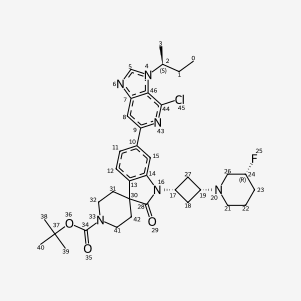 CC[C@H](C)n1cnc2cc(-c3ccc4c(c3)N([C@H]3C[C@@H](N5CCC[C@@H](F)C5)C3)C(=O)C43CCN(C(=O)OC(C)(C)C)CC3)nc(Cl)c21